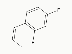 C/C=C\c1ccc(F)cc1F